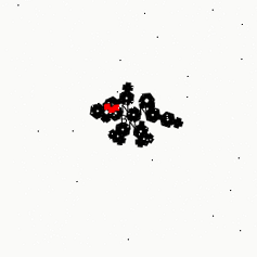 Cc1cc2c(cc1N1c3cc4c(cc3B3c5cc6c(cc5N(c5ccc(C(C)(C)C)cc5-c5ccccc5)c5cc(N7c8ccc(-c9ccc(C(C)(C)C)cc9)cc8C8(C)CCCCC78C)cc1c53)C(C)(C)c1ccccc1C6(C)C)C(C)(C)CC4(C)C)C(C)(C)CC2(C)C